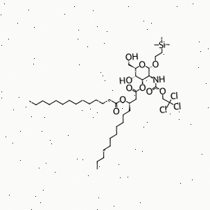 CCCCCCCCCCCCCC(=O)O[C@H](CCCCCCCCCCC)CC(=O)O[C@H]1[C@H](O)[C@@H](CO)O[C@H](OCC[Si](C)(C)C)[C@H]1NC(=O)OCC(Cl)(Cl)Cl